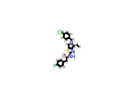 CC[C@H]1c2nc(NC(=O)Cc3ccc(F)cc3)sc2CN1Cc1ccc(Cl)cc1